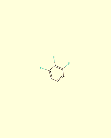 Fc1[c]c[c]c(F)c1F